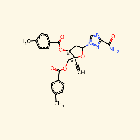 C#C[C@]1(COC(=O)c2ccc(C)cc2)OC(n2cnc(C(N)=O)n2)C[C@@H]1OC(=O)c1ccc(C)cc1